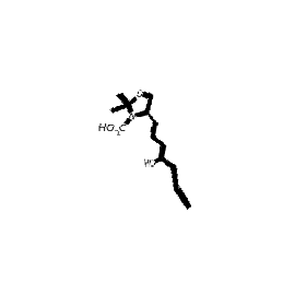 C=CCC(O)=CCC[C@@H]1COC(C)(C)N1C(=O)O